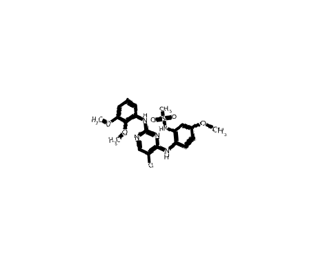 COc1ccc(Nc2nc(Nc3cccc(OC)c3OC)ncc2Cl)c(NS(C)(=O)=O)c1